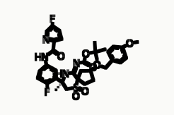 COc1ccc(COC2CCC3(C2)/C(=N\C(=O)OC(C)(C)C)N[C@](C)(c2cc(NC(=O)c4ccc(F)cn4)ccc2F)CS3(=O)=O)cc1